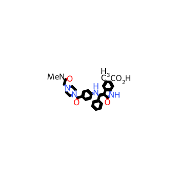 CNC(=O)CN1CCN(C(=O)c2ccc(NC(=C3C(=O)Nc4cc(C(=O)O)c(C)cc43)c3ccccc3)cc2)CC1